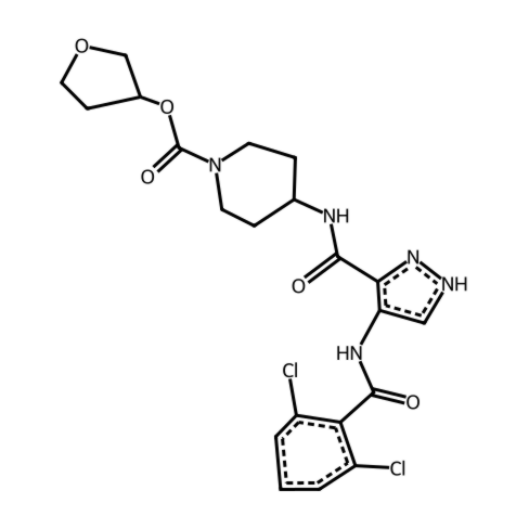 O=C(NC1CCN(C(=O)OC2CCOC2)CC1)c1n[nH]cc1NC(=O)c1c(Cl)cccc1Cl